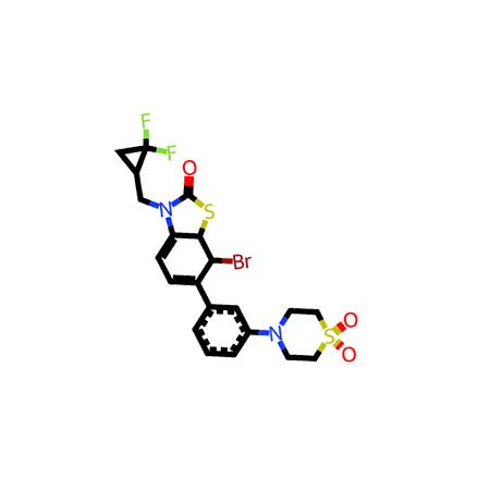 O=C1SC2C(=CC=C(c3cccc(N4CCS(=O)(=O)CC4)c3)C2Br)N1CC1CC1(F)F